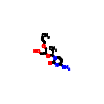 C=CCOC[C@@H](CO)O[C@H](CC)n1ccc(N)nc1=O